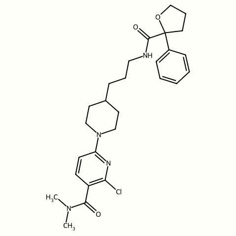 CN(C)C(=O)c1ccc(N2CCC(CCCNC(=O)C3(c4ccccc4)CCCO3)CC2)nc1Cl